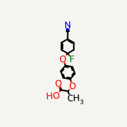 CC(Oc1ccc(OC2(F)C=CC(C#N)=CC2)cc1)C(=O)O